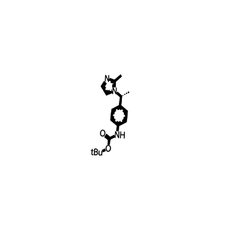 Cc1nccn1[C@H](C)c1ccc(NC(=O)OC(C)(C)C)cc1